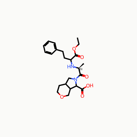 CCOC(=O)C(CCc1ccccc1)N[C@@H](C)C(=O)N1CC2CCOCC2C1C(=O)O